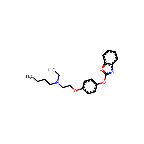 CCCCN(CC)CCOc1ccc(Oc2nc3ccccc3o2)cc1